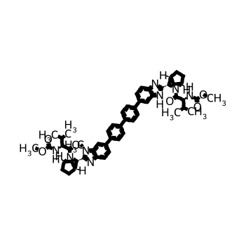 COC(=O)N[C@H](C(=O)N1[C@@H]2CC[C@@H](C2)[C@H]1c1nc2ccc(-c3ccc(-c4ccc(-c5ccc6nc([C@@H]7[C@H]8CC[C@H](C8)N7C(=O)[C@@H](NC(=O)OC)C(C)C)n(C)c6c5)cc4)cc3)cc2[nH]1)C(C)C